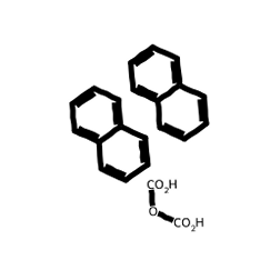 O=C(O)OC(=O)O.c1ccc2ccccc2c1.c1ccc2ccccc2c1